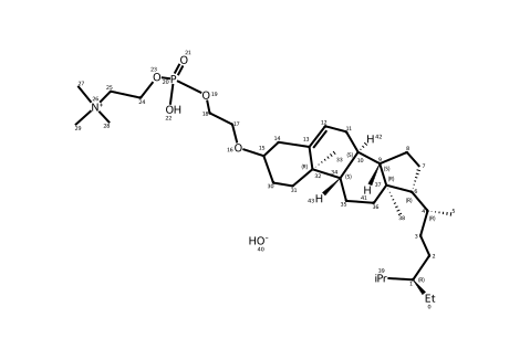 CC[C@H](CC[C@@H](C)[C@H]1CC[C@H]2[C@@H]3CC=C4CC(OCCOP(=O)(O)OCC[N+](C)(C)C)CC[C@]4(C)[C@H]3CC[C@]12C)C(C)C.[OH-]